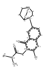 CCc1nc2ccc(N3CCN4CCC3CC4)cc2c(=O)n1CC(=O)N(C)C(C)C